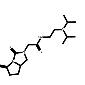 CC(C)N(CCNC(=O)CN1CC2CCC(=O)N2C1=O)C(C)C